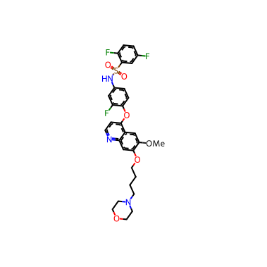 COc1cc2c(Oc3ccc(NS(=O)(=O)c4cc(F)ccc4F)cc3F)ccnc2cc1OCCCCN1CCOCC1